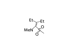 CCC(CC)=C(NC)S(C)(=O)=O